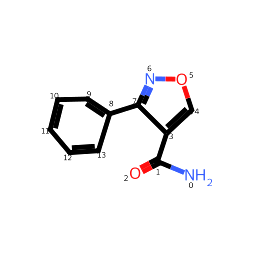 NC(=O)c1[c]onc1-c1ccccc1